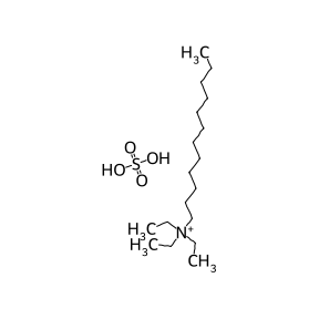 CCCCCCCCCCCC[N+](CC)(CC)CC.O=S(=O)(O)O